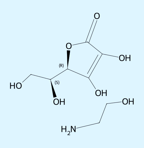 NCCO.O=C1O[C@H]([C@@H](O)CO)C(O)=C1O